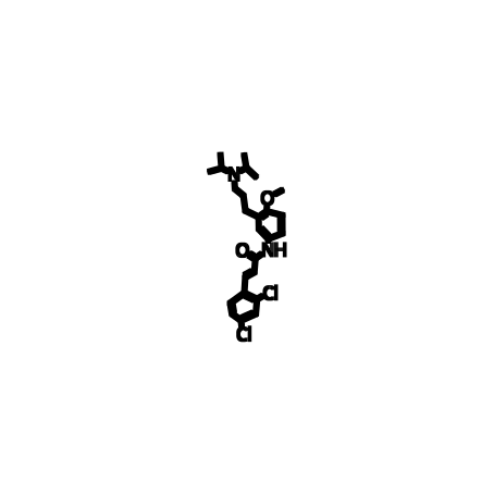 COc1ccc(NC(=O)/C=C/c2ccc(Cl)cc2Cl)cc1CCCN(C(C)C)C(C)C